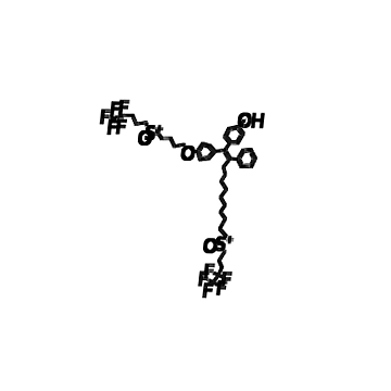 [O-][S+](CCCCCCCCCC/C(=C(/c1ccc(O)cc1)c1ccc(OCCCCC[S+]([O-])CCCC(F)(F)C(F)(F)F)cc1)c1ccccc1)CCCC(F)(F)C(F)(F)F